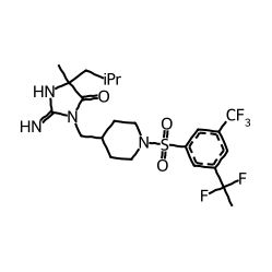 CC(C)CC1(C)NC(=N)N(CC2CCN(S(=O)(=O)c3cc(C(C)(F)F)cc(C(F)(F)F)c3)CC2)C1=O